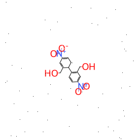 O=[N+]([O-])C1=CCC(c2ccc([N+](=O)[O-])cc2CO)C(CO)=C1